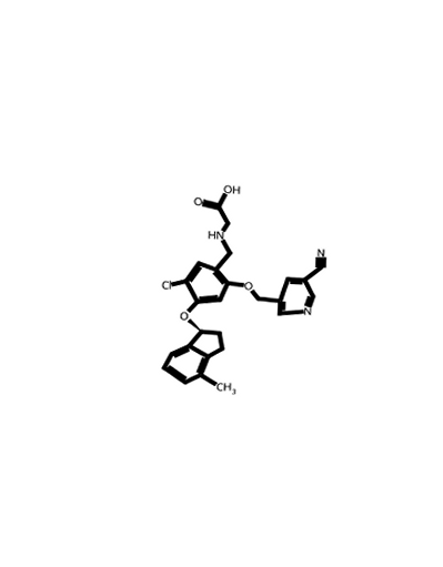 Cc1cccc2c1CC[C@@H]2Oc1cc(OCc2cncc(C#N)c2)c(CNCC(=O)O)cc1Cl